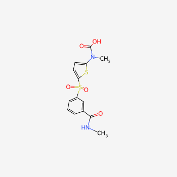 CNC(=O)c1cccc(S(=O)(=O)c2ccc(N(C)C(=O)O)s2)c1